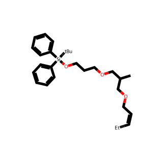 CC/C=C\COCC(C)COCCCO[Si](c1ccccc1)(c1ccccc1)C(C)(C)C